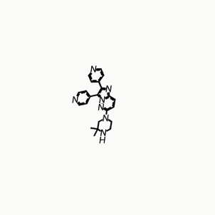 CC1(C)CN(c2ccc3nc(-c4ccncc4)c(-c4ccncc4)n3n2)CCN1